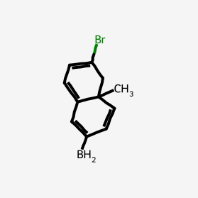 BC1=CC2=CC=C(Br)CC2(C)C=C1